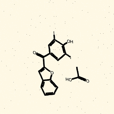 CC(=O)O.O=C(c1cc(I)c(O)c(I)c1)c1cc2ccccc2o1